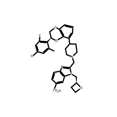 O=C(O)c1ccc2nc(CN3CCC(c4cccc5c4O[C@@H](c4c(F)cc(Cl)cc4F)CO5)CC3)n(C[C@@H]3CCO3)c2c1